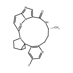 C[C@@H]1CCc2ncc(F)cc2C23CC2CCN3c2ccc3ncc(n3n2)C(=O)N1